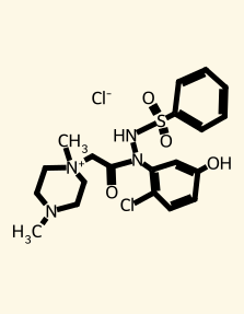 CN1CC[N+](C)(CC(=O)N(NS(=O)(=O)c2ccccc2)c2cc(O)ccc2Cl)CC1.[Cl-]